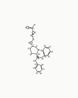 CC(=O)OCCOC1CCC(N(Cc2ccccc2)Cc2ccccc2)CC1